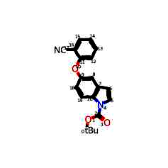 CC(C)(C)OC(=O)n1ccc2cc(Oc3ccccc3C#N)ccc21